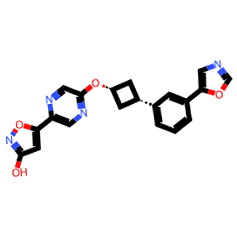 Oc1cc(-c2cnc(O[C@H]3C[C@@H](c4cccc(-c5cnco5)c4)C3)cn2)on1